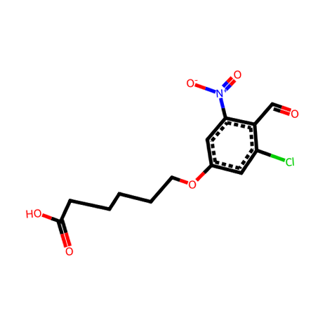 O=Cc1c(Cl)cc(OCCCCCC(=O)O)cc1[N+](=O)[O-]